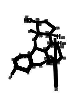 C[C@]12CC3c4ccc(I)cc4C[C@]45CCC(=O)C=C4CC[C@H](C35)[C@@H]1CC[C@@H]2O